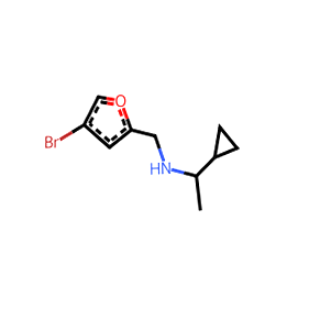 CC(NCc1cc(Br)co1)C1CC1